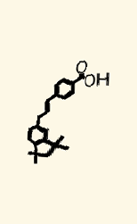 CC1(C)CC(C)(C)c2cc(CC=Cc3ccc(C(=O)O)cc3)ccc21